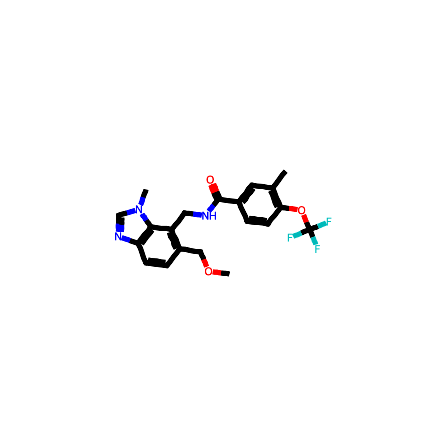 COCc1ccc2ncn(C)c2c1CNC(=O)c1ccc(OC(F)(F)F)c(C)c1